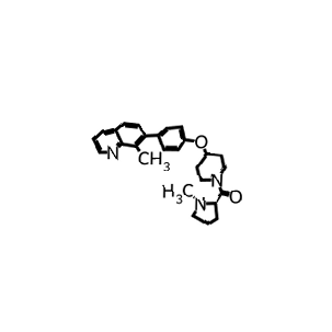 Cc1c(-c2ccc(OC3CCN(C(=O)[C@H]4CCCN4C)CC3)cc2)ccc2cccnc12